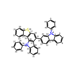 c1ccc(-n2c3ccccc3c3ccc(-c4cc5sc6ccccc6c5c5c4c4ccccc4n5-c4ccccc4)cc32)cc1